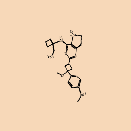 CNc1ccc(C2(OC)CN(c3nc4c(c(NC5(CO)CCC5)n3)[S@+]([O-])CC4)C2)cc1